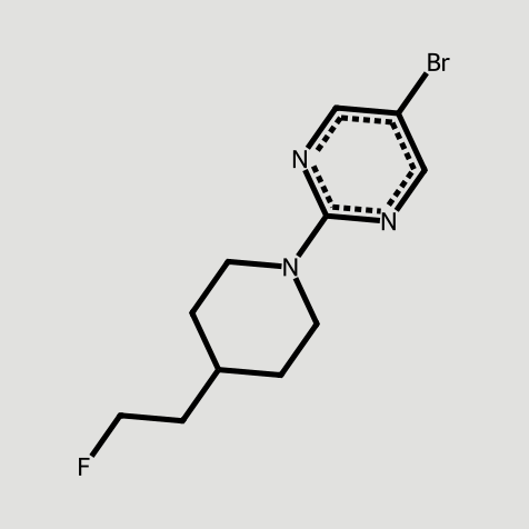 FCCC1CCN(c2ncc(Br)cn2)CC1